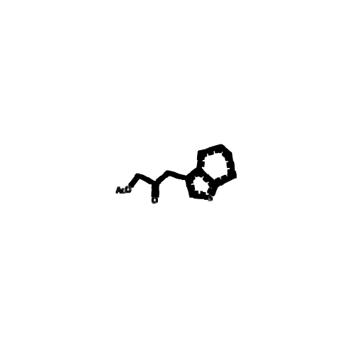 CC(=O)OCC(=O)Cc1csc2ccccc12